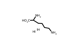 I.I.NCCCCC(N)C(=O)O